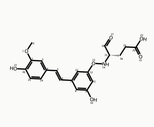 COc1cc(/C=C/c2cc(O)cc(ON[C@H](C=O)CCC(=O)O)c2)ccc1O